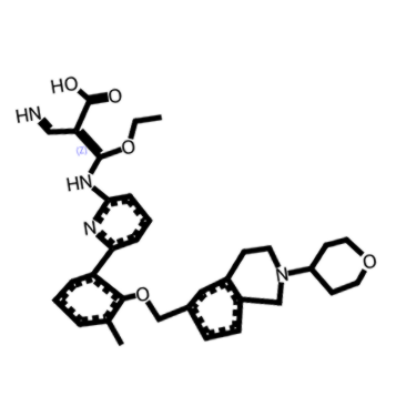 CCO/C(Nc1cccc(-c2cccc(C)c2OCc2ccc3c(c2)CCN(C2CCOCC2)C3)n1)=C(/C=N)C(=O)O